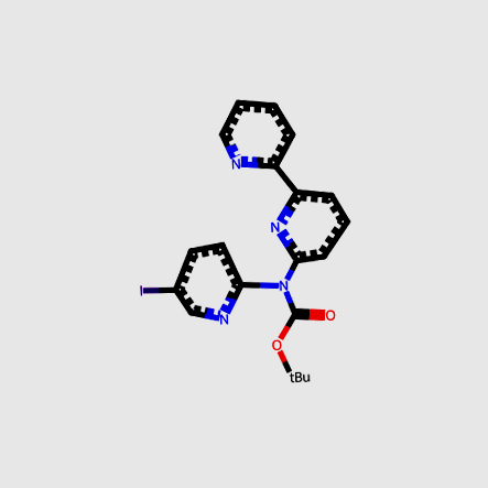 CC(C)(C)OC(=O)N(c1ccc(I)cn1)c1cccc(-c2ccccn2)n1